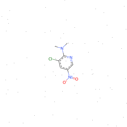 [CH2]N(C)c1ncc([N+](=O)[O-])cc1Cl